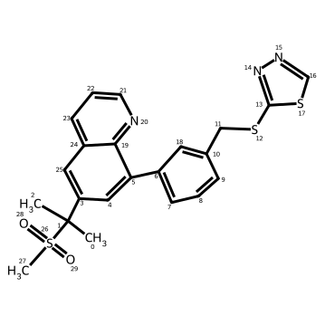 CC(C)(c1cc(-c2cccc(CSc3nncs3)c2)c2ncccc2c1)S(C)(=O)=O